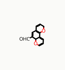 O=CC1=CC2=C(OCC=C2)C2=CC=COC12